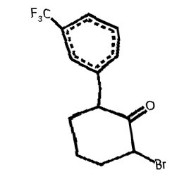 O=C1C(Br)CCCC1c1cccc(C(F)(F)F)c1